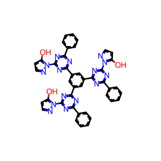 Oc1ccnn1-c1nc(-c2ccccc2)nc(-c2cc(-c3nc(-c4ccccc4)nc(-n4nccc4O)n3)cc(-c3nc(-c4ccccc4)nc(-n4nccc4O)n3)c2)n1